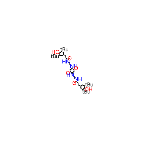 CC(C)(C)c1cc(CCC(=O)NCCNC2=CC(=O)C(NCCNC(=O)CCc3cc(C(C)(C)C)c(O)c(C(C)(C)C)c3)=CC2=O)cc(C(C)(C)C)c1O